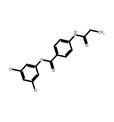 CCC(=O)Nc1ccc(C(=O)Oc2cc(Cl)cc(Cl)c2)cc1